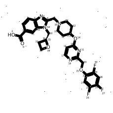 O=C(O)c1ccc2nc(CN3CCC(Oc4ccnc(COc5cc(F)c(F)cc5F)n4)CC3)n(C[C@@H]3CCO3)c2c1